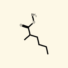 BOC(=O)C(C)CCCC